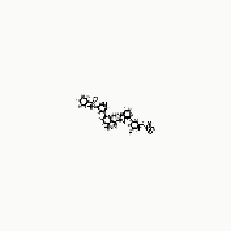 CS(=O)(=O)NCc1cc(F)cc(-c2nccc3[nH]c(-c4n[nH]c5ccc(-c6cncc(NC(=O)c7ccccc7)c6)nc45)nc23)c1